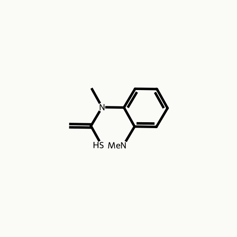 C=C(S)N(C)c1ccccc1NC